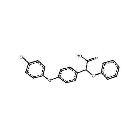 O=C(O)C(Oc1ccccc1)c1ccc(Oc2ccc(Cl)cc2)cc1